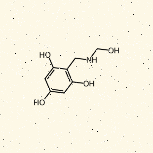 OCNCc1c(O)cc(O)cc1O